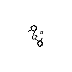 Cc1ccccc1N1C=[N+](c2ccccc2C)CC1.[Cl-]